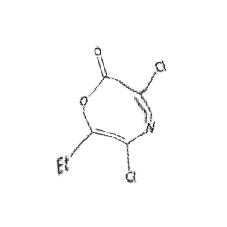 CCc1oc(=O)c(Cl)nc1Cl